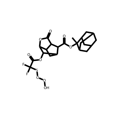 CC1(OC(=O)C2C3CC4C(OC(=O)C42)C3OC(=O)C(F)(F)SOOO)C2CC3CC(C2)CC1C3